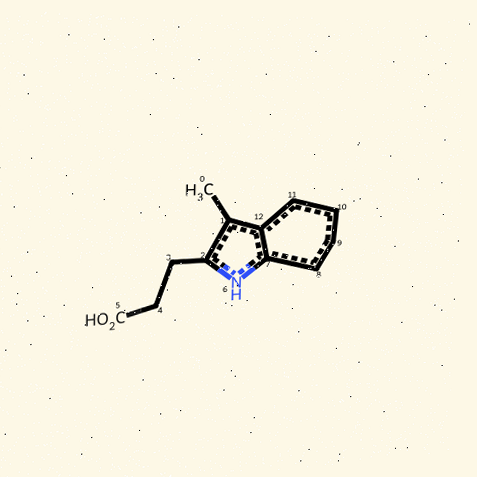 Cc1c(CCC(=O)O)[nH]c2ccccc12